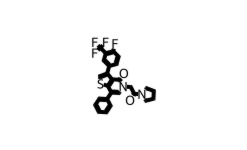 O=C(Cn1cc(-c2ccccc2)c2scc(-c3ccc(F)c(C(F)(F)F)c3)c2c1=O)N1CCCC1